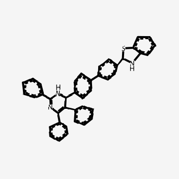 c1ccc(C2=NC(c3ccccc3)=C(c3ccccc3)C(c3ccc(-c4ccc(C5Nc6ccccc6S5)cc4)cc3)N2)cc1